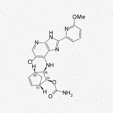 COc1cccc(-c2nc3c(N[C@H]4[C@@H](OC(N)=O)[C@@H]5C=C[C@H]4C5)c(Cl)cnc3[nH]2)n1